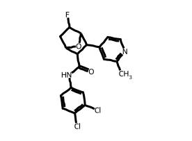 Cc1cc(C2C3OC(CC3F)C2C(=O)Nc2ccc(Cl)c(Cl)c2)ccn1